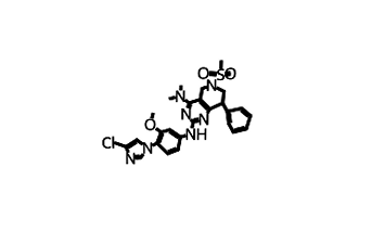 COc1cc(Nc2nc3c(c(N(C)C)n2)CN(S(C)(=O)=O)CC3c2ccccc2)ccc1-n1cnc(Cl)c1